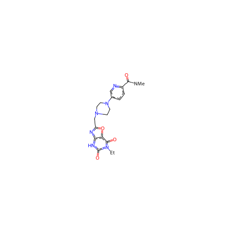 CCn1c(=O)[nH]c2nc(CN3CCN(c4ccc(C(=O)NC)nc4)CC3)oc2c1=O